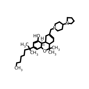 CCCCCCC(C)(C)C1=CC2OC(C)(C)C3CC=C(CN4CCC(N5CCCC5)CC4)CC3[C@@H]2C(O)=C1